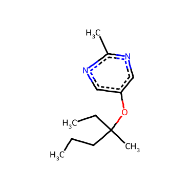 CCCC(C)(CC)Oc1cnc(C)nc1